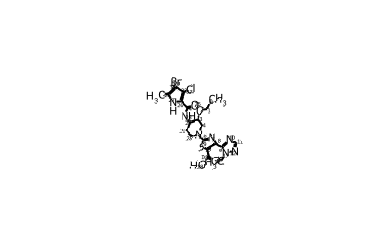 CCO[C@H]1CN(c2nc(-c3ncnn3C)c(C(=O)O)s2)CC[C@H]1NC(=O)c1[nH]c(C)c(Br)c1Cl